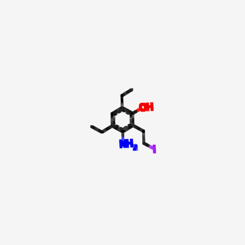 CCc1cc(CC)c(O)c(CCI)c1N